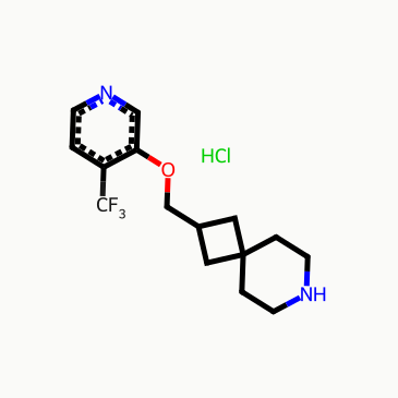 Cl.FC(F)(F)c1ccncc1OCC1CC2(CCNCC2)C1